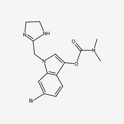 CN(C)C(=O)Oc1cn(CC2=NCCN2)c2cc(Br)ccc12